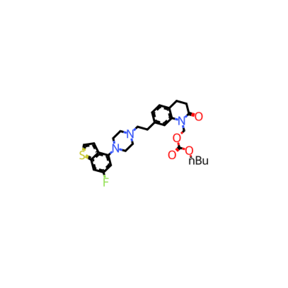 CCCCOC(=O)OCN1C(=O)CCc2ccc(CCN3CCN(c4cc(F)cc5sccc45)CC3)cc21